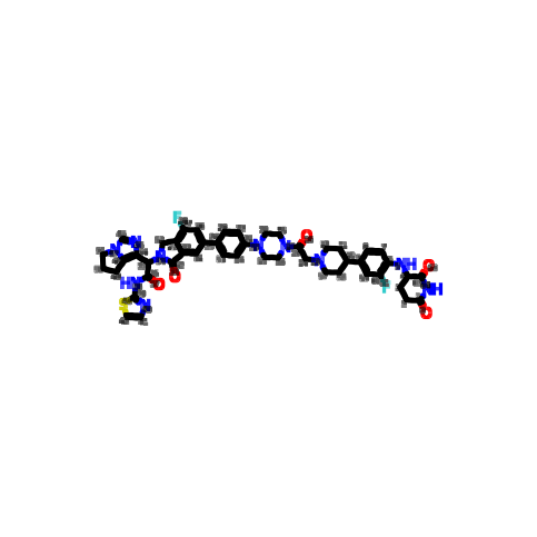 O=C1CCC(Nc2ccc(C3CCN(CC(=O)N4CCN(c5ccc(-c6cc(F)c7c(c6)C(=O)N(C(C(=O)Nc6nccs6)c6ncn8c6CCC8)C7)cc5)CC4)CC3)cc2F)C(=O)N1